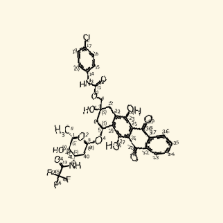 C[C@@H]1O[C@@H](O[C@H]2C[C@](O)(COC(=O)Nc3ccc(Cl)cc3)Cc3c(O)c4c(c(O)c32)C(=O)c2ccccc2C4=O)C[C@H](NC(=O)C(F)(F)F)[C@@H]1O